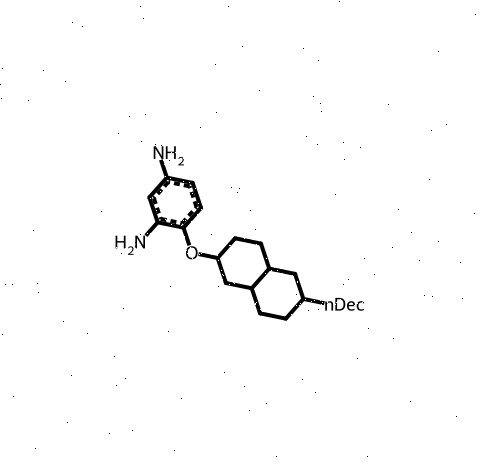 CCCCCCCCCCC1CCC2CC(Oc3ccc(N)cc3N)CCC2C1